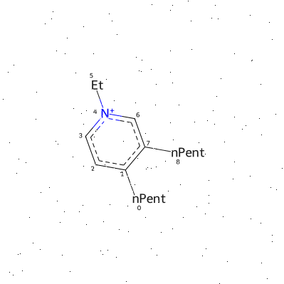 CCCCCc1cc[n+](CC)cc1CCCCC